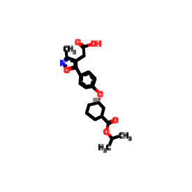 Cc1noc(-c2ccc(O[C@H]3CCCC(C(=O)OC(C)C)C3)cc2)c1CC(=O)O